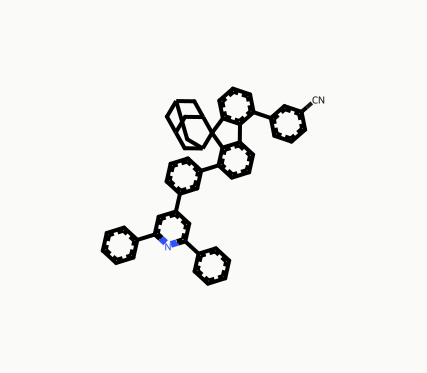 N#Cc1cccc(-c2cccc3c2-c2cccc(-c4cccc(-c5cc(-c6ccccc6)nc(-c6ccccc6)c5)c4)c2C32C3CC4CC(C3)CC2C4)c1